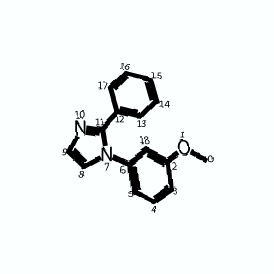 COc1cccc(-n2ccnc2-c2ccccc2)c1